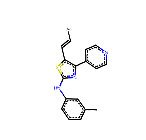 CC(=O)C=Cc1sc(Nc2cccc(C)c2)nc1-c1ccncc1